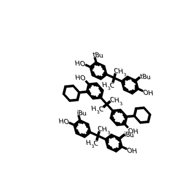 CC(C)(C)c1cc(C(C)(C)c2ccc(O)c(C(C)(C)C)c2)ccc1O.CC(C)(c1ccc(O)c(C2CCCCC2)c1)c1ccc(O)c(C2CCCCC2)c1.CCC(C)c1cc(C(C)(C)c2ccc(O)c(C(C)CC)c2)ccc1O